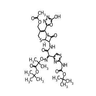 CC(=O)OCC1=C(c2nnc(O)o2)N2C(=O)[C@@H](NC(=O)/C(=N\OC(C)(C)C(=O)OC(C)(C)C)c3csc(NC(=O)OC(C)(C)C)n3)[C@H]2SC1